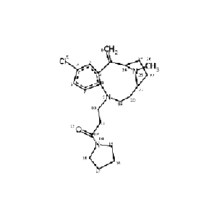 C=C1c2cc(Cl)ccc2N(CCC(=O)N2CCCC2)CCC2CCC1N2C